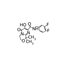 CC1(C)OCCn2c1nc(C(=O)NCc1ccc(F)c(F)c1)c(O)c2=O